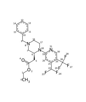 CCOC(=O)C[C@H]1CN(Cc2ccccc2)CCN1c1cc(C(F)F)c(C(F)(F)F)cn1